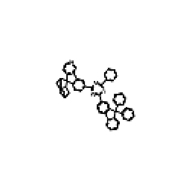 c1ccc(-c2nc(-c3ccc4c(c3)-c3cnccc3C43C4CC5CC(C4)C3C5)nc(-c3ccc4c(c3)C(c3ccccc3)(c3ccccc3)c3ccccc3-4)n2)cc1